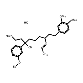 CCCCCCCCCCCCC(C#N)(CCCC(CCc1ccc(OC)c(OC)c1)N=NC)c1cccc(OCC)c1.Cl